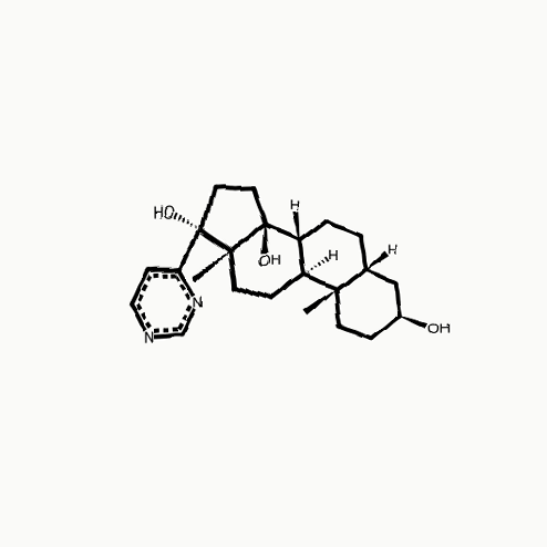 C[C@]12CC[C@H](O)C[C@H]1CC[C@@H]1[C@@H]2CC[C@]2(C)[C@@](O)(c3ccncn3)CC[C@]12O